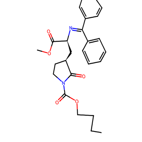 CCCCOC(=O)N1CC[C@@H](C[C@H](N=C(c2ccccc2)c2ccccc2)C(=O)OC)C1=O